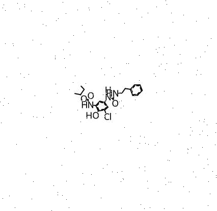 CCC(C)OC(=O)Nc1cc(NC(=O)NCCc2ccccc2)cc(Cl)c1O